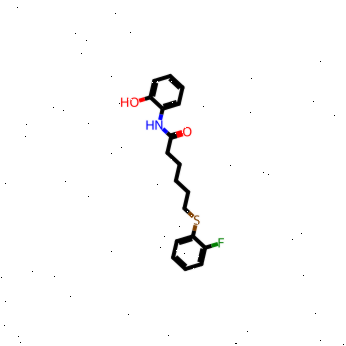 O=C(CCCCCSc1ccccc1F)Nc1ccccc1O